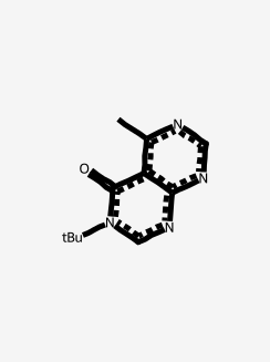 Cc1ncnc2ncn(C(C)(C)C)c(=O)c12